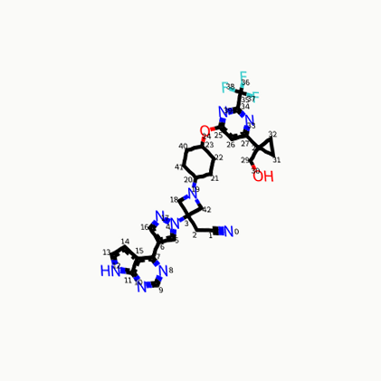 N#CCC1(n2cc(-c3ncnc4[nH]ccc34)cn2)CN(C2CCC(Oc3cc(C4(CO)CC4)nc(C(F)(F)F)n3)CC2)C1